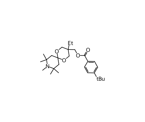 CCC1(COC(=O)c2ccc(C(C)(C)C)cc2)COC2(CC(C)(C)N(C)C(C)(C)C2)OC1